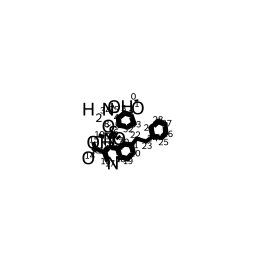 COc1ccc(S(=O)(=O)N(C)c2c(C(=O)O)cnc3ccc(CCc4ccccc4)cc23)cc1.NO